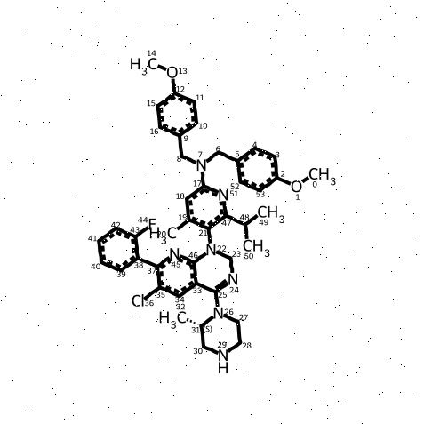 COc1ccc(CN(Cc2ccc(OC)cc2)c2cc(C)c(N3CN=C(N4CCNC[C@@H]4C)c4cc(Cl)c(-c5ccccc5F)nc43)c(C(C)C)n2)cc1